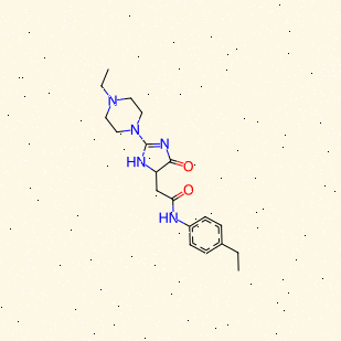 CCc1ccc(NC(=O)CC2NC(N3CCN(CC)CC3)=NC2=O)cc1